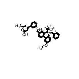 CCC[C@@H](CC(=O)O)c1cccc(OCc2ccc(-c3cc(OC)ccc3F)c([C@@H](OCc3ccccc3)C(C)(C)C)c2)c1